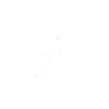 O=C(O)C1CCN(c2ccc([N+](=O)[O-])c3ccccc23)CC1